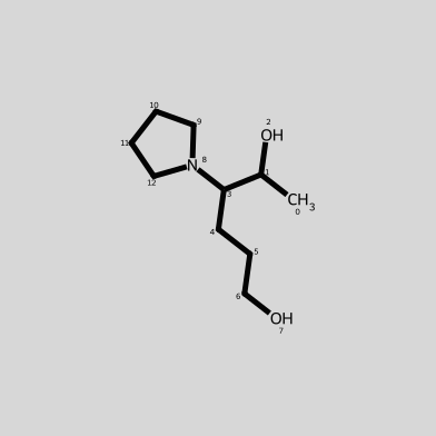 CC(O)C(CCCO)N1CCCC1